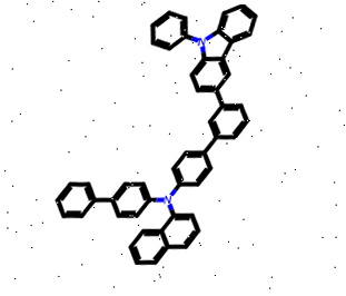 c1ccc(-c2ccc(N(c3ccc(-c4cccc(-c5ccc6c(c5)c5ccccc5n6-c5ccccc5)c4)cc3)c3cccc4ccccc34)cc2)cc1